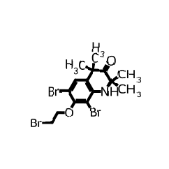 CC1(C)Nc2c(cc(Br)c(OCCBr)c2Br)C(C)(C)C1=O